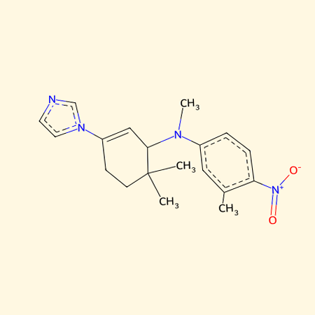 Cc1cc(N(C)C2C=C(n3ccnc3)CCC2(C)C)ccc1[N+](=O)[O-]